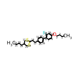 CCCCOc1ccc(-c2ccc(CCC3SCC(CCCC)CS3)cc2)c(F)c1